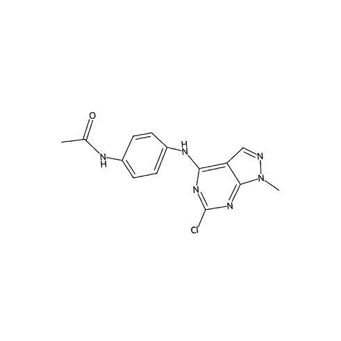 CC(=O)Nc1ccc(Nc2nc(Cl)nc3c2cnn3C)cc1